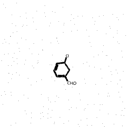 O=CC1=CC=CC(Cl)C1